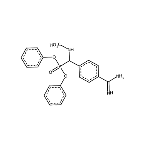 N=C(N)c1ccc(C(NC(=O)O)P(=O)(Oc2ccccc2)Oc2ccccc2)cc1